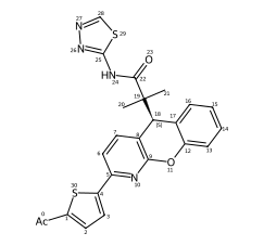 CC(=O)c1ccc(-c2ccc3c(n2)Oc2ccccc2[C@@H]3C(C)(C)C(=O)Nc2nncs2)s1